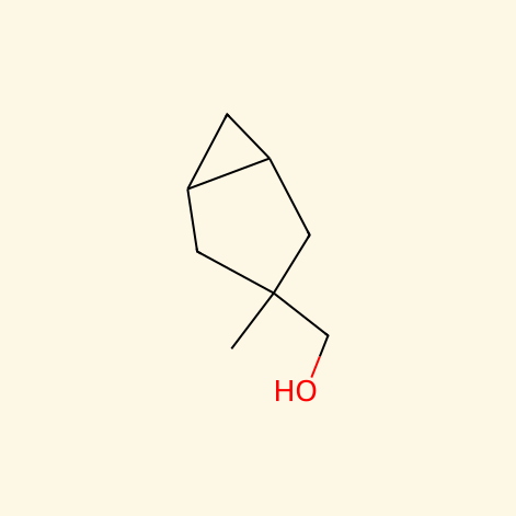 CC1(CO)CC2CC2C1